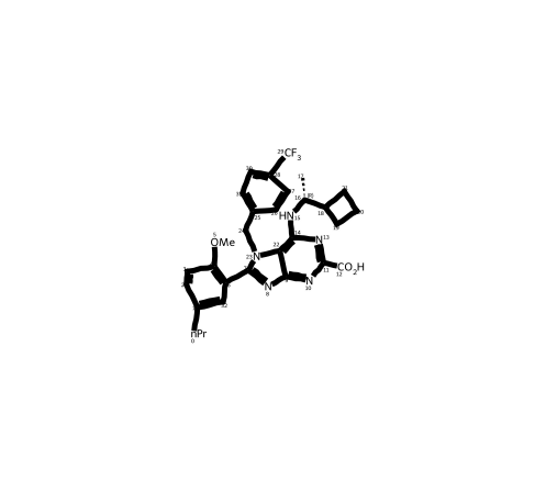 CCCc1ccc(OC)c(-c2nc3nc(C(=O)O)nc(N[C@H](C)C4CCC4)c3n2Cc2ccc(C(F)(F)F)cc2)c1